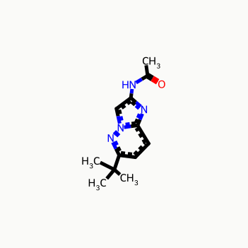 CC(=O)Nc1cn2nc(C(C)(C)C)ccc2n1